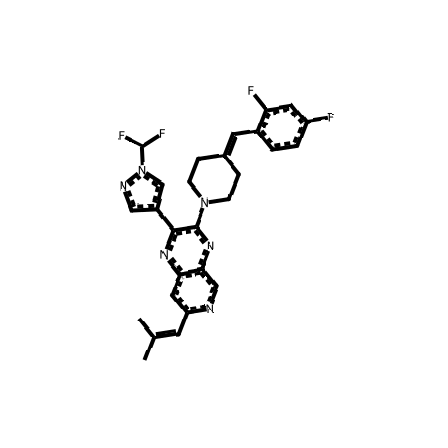 CC(C)=Cc1cc2nc(-c3cnn(C(F)F)c3)c(N3CCC(=Cc4ccc(F)cc4F)CC3)nc2cn1